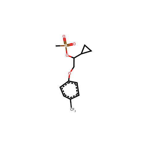 CS(=O)(=O)OC(COc1ccc(C(F)(F)F)cc1)C1CC1